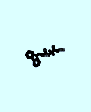 CCCCOC(=O)C(C)(C)NC(=O)OCC1c2ccccc2-c2ccccc21